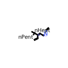 C=C/N=C\C=C(/C=C)C(C)(CCCCC)CCCCCCC